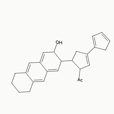 CC(=O)C1C=C(C2=CC=CC2)CC1C1C=c2cc3c(cc2=CC1O)CCCC3